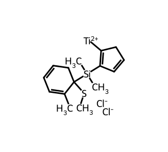 CSC1([Si](C)(C)C2=[C]([Ti+2])CC=C2)CC=CC=C1C.[Cl-].[Cl-]